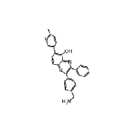 Cc1ccc(-c2ccc3nc(-c4ccc(CN)cc4)c(-c4ccccc4)nc3c2O)cn1